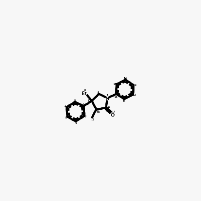 CCC1(c2ccccc2)CN(c2ccccc2)C(=O)C1C